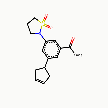 COC(=O)c1cc(C2CC=CC2)cc(N2CCCS2(=O)=O)c1